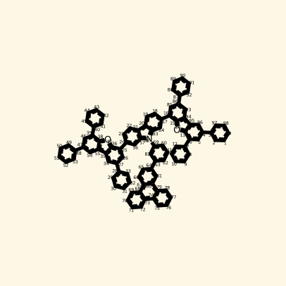 c1ccc(-c2cc(-c3ccccc3)c3oc4c(-c5ccc6c7ccc(-c8cc(-c9ccccc9)cc9c8oc8c(-c%10ccccc%10)cc(-c%10ccccc%10)cc89)cc7n(-c7cccc(-c8ccc9c%10ccccc%10c%10ccccc%10c9c8)c7)c6c5)cc(-c5ccccc5)cc4c3c2)cc1